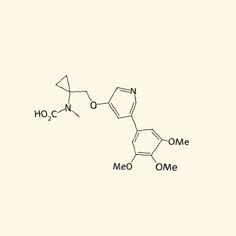 COc1cc(-c2cncc(OCC3(N(C)C(=O)O)CC3)c2)cc(OC)c1OC